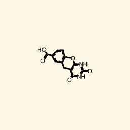 O=C(O)c1ccc2c(c1)Cc1c([nH]c(=O)[nH]c1=O)O2